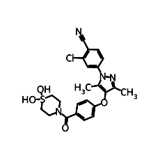 Cc1nn(-c2ccc(C#N)c(Cl)c2)c(C)c1Oc1ccc(C(=O)N2CCS(O)(O)CC2)cc1